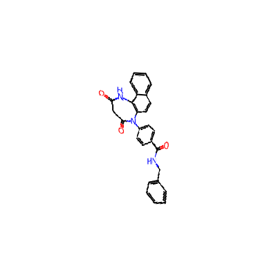 O=C1CC(=O)N(c2ccc(C(=O)NCc3ccccc3)cc2)c2ccc3ccccc3c2N1